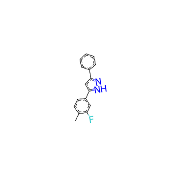 Cc1ccc(-c2cc(-c3ccccc3)n[nH]2)cc1F